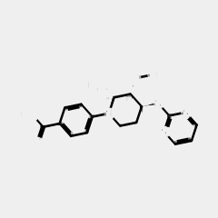 CO[C@@H]1[C@@H](Nc2ncccn2)CCN(c2ccc(C(=O)O)cc2)[C@@H]1C